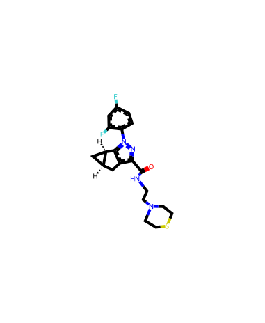 O=C(NCCN1CCSCC1)c1nn(-c2ccc(F)cc2F)c2c1C[C@H]1C[C@@H]21